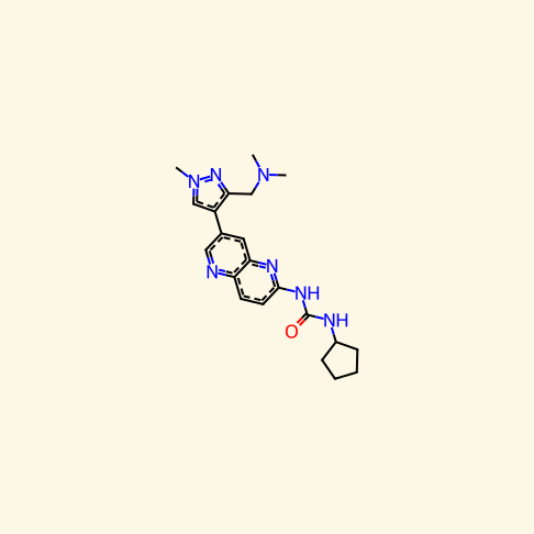 CN(C)Cc1nn(C)cc1-c1cnc2ccc(NC(=O)NC3CCCC3)nc2c1